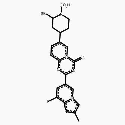 Cc1cn2cc(-c3nc(=O)n4cc(C5CCN(C(=O)O)C(C(C)(C)C)C5)ccc4n3)cc(F)c2n1